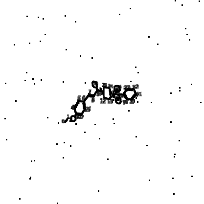 CCOc1ccc(C=CC(=O)N2CCN(S(=O)(=O)c3ccccc3)CC2)cc1